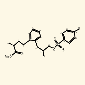 COC(=O)[C@@H](C)CCc1ccccc1C[C@H](C)COS(=O)(=O)c1ccc(C)cc1